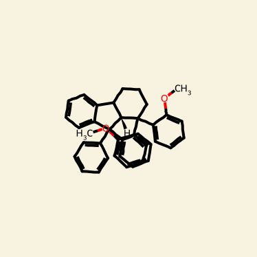 COc1ccccc1C1(c2ccccc2OC)CCCC2c3ccccc3C(c3ccccc3)(c3ccccc3)[C@H]21